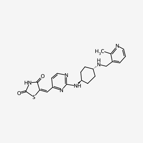 Cc1ncccc1CN[C@H]1CC[C@H](Nc2nccc(C=C3SC(=O)NC3=O)n2)CC1